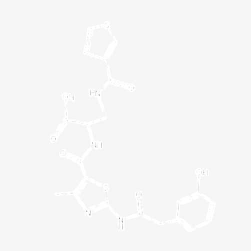 Cc1nc(NC(=O)Cc2cccc(O)c2)sc1C(=O)NC(CNC(=O)c1ccsc1)C(=O)O